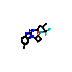 Cc1ccc2nc(NC(=O)CC(C)C(F)(F)F)n(C3CCC3)c2c1